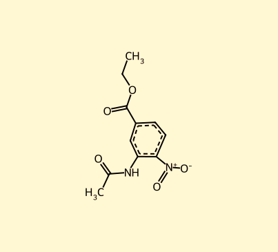 CCOC(=O)c1ccc([N+](=O)[O-])c(NC(C)=O)c1